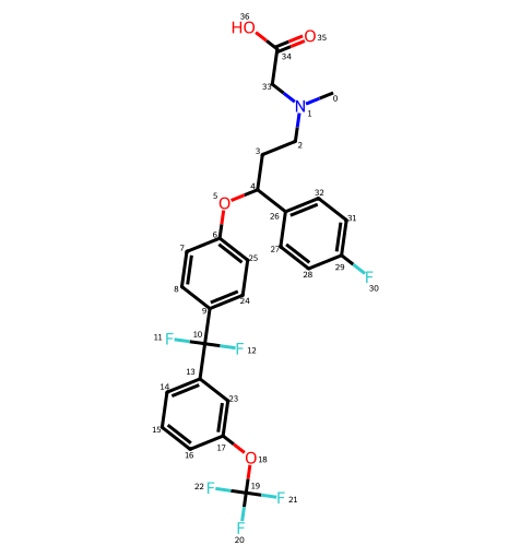 CN(CCC(Oc1ccc(C(F)(F)c2cccc(OC(F)(F)F)c2)cc1)c1ccc(F)cc1)CC(=O)O